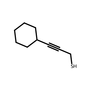 SCC#CC1CCCCC1